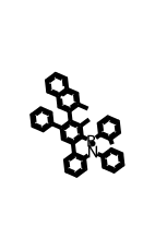 Cc1ccccc1B1c2c(cc(-c3ccccc3)c(-c3cc4ccccc4cc3C)c2C)-c2ccccc2N1c1ccccc1